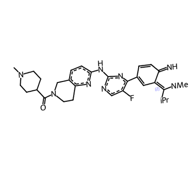 CN/C(=C1/C=C(c2nc(Nc3ccc4c(n3)CCN(C(=O)C3CCN(C)CC3)C4)ncc2F)C=CC1=N)C(C)C